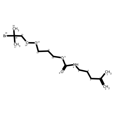 C=C(C)CCCNC(=O)OCCCOOCC(C)(C)Br